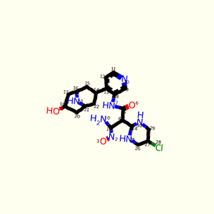 NC(N=O)C(C(=O)Nc1cnccc1C1CC2CC(O)CC(C1)N2)C1NCC(Cl)CN1